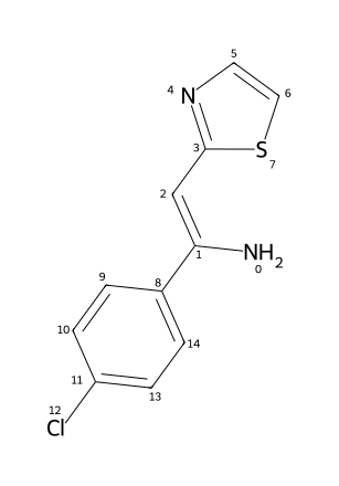 N/C(=C\c1nccs1)c1ccc(Cl)cc1